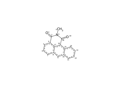 CN1C(=O)c2cccc3cc4ccccc4c(c23)C1=O